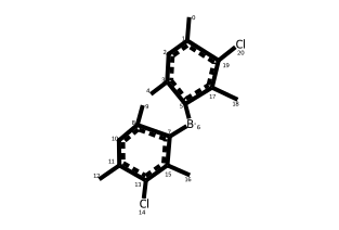 Cc1cc(C)c([B]c2c(C)cc(C)c(Cl)c2C)c(C)c1Cl